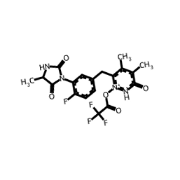 Cc1c(C)c(=O)[nH][n+](OC(=O)C(F)(F)F)c1Cc1ccc(F)c(N2C(=O)NC(C)C2=O)c1